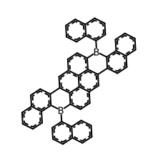 c1ccc2c(B3c4c(ccc5ccccc45)-c4cc5ccc6c7c(cc8ccc3c4c8c57)-c3ccc4ccccc4c3B6c3cccc4ccccc34)cccc2c1